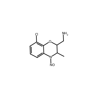 CC1C(CN)Oc2c(Cl)cccc2N1N=O